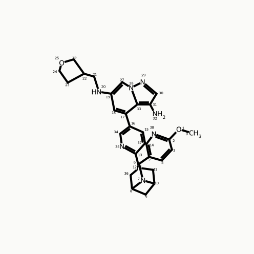 COc1ccc(CN2C3CC2CN(c2ccc(-c4cc(NCC5CCOC5)cn5ncc(N)c45)cn2)C3)cn1